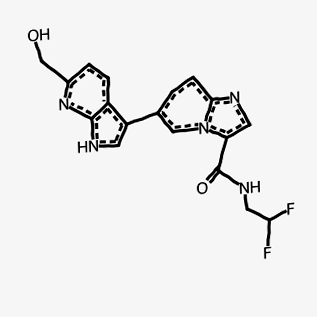 O=C(NCC(F)F)c1cnc2ccc(-c3c[nH]c4nc(CO)ccc34)cn12